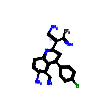 N=Cc1c(N)ccc2nc(/C(=C/N)C(=N)C(F)(F)F)cc(-c3ccc(Cl)cc3)c12